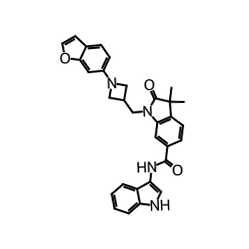 CC1(C)C(=O)N(CC2CN(c3ccc4ccoc4c3)C2)c2cc(C(=O)Nc3c[nH]c4ccccc34)ccc21